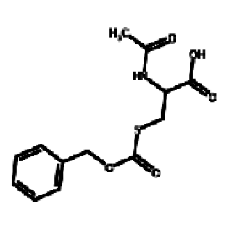 CC(=O)NC(CSC(=O)OCc1ccccc1)C(=O)O